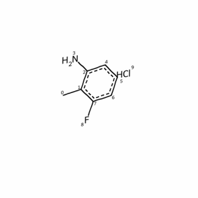 Cc1c(N)cccc1F.Cl